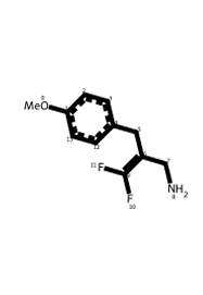 COc1ccc(CC(CN)=C(F)F)cc1